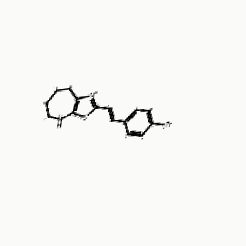 CC(C)c1ccc(C=Cc2nc3c(s2)NCCCC3)cc1